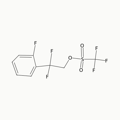 O=S(=O)(OCC(F)(F)c1ccccc1F)C(F)(F)F